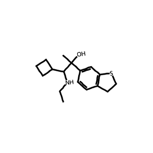 CCNC(C1CCC1)C(C)(O)c1ccc2c(c1)SCC2